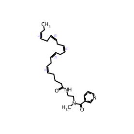 CC/C=C\C/C=C\C/C=C\C/C=C\C/C=C\CCCC(=O)NCCN(C)C(=O)c1cccnc1